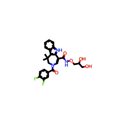 CC1(C)CN(C(=O)c2ccc(F)c(F)c2)C=C(C(=O)NOCC(O)CO)c2[nH]c3ccccc3c21